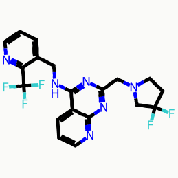 FC1(F)CCN(Cc2nc(NCc3cccnc3C(F)(F)F)c3cccnc3n2)C1